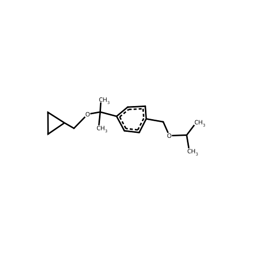 CC(C)OCc1ccc(C(C)(C)OCC2CC2)cc1